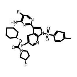 Cc1ccc(S(=O)(=O)n2cc(-c3ncc(F)c(N[C@H]4CCC[C@@H](OC(=O)N5CC[C@@H](F)C5)C4)n3)c3cc(F)cnc32)cc1